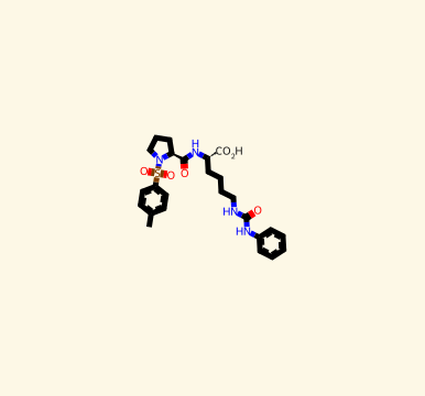 Cc1ccc(S(=O)(=O)N2CCC[C@H]2C(=O)N[C@@H](CCCCNC(=O)Nc2ccccc2)C(=O)O)cc1